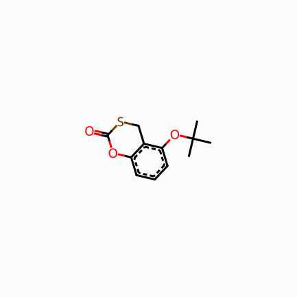 CC(C)(C)Oc1cccc2c1CSC(=O)O2